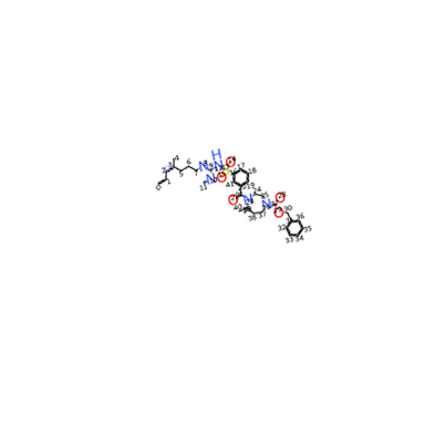 C=C/C=C(/C)CCC/N=C(\N=C)NS(=O)(=O)c1cccc(C(=O)N2CCN(C(=O)OCc3ccccc3)CC[C@H]2C)c1